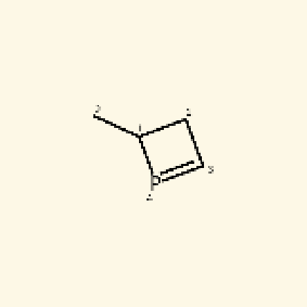 CC1CC=P1